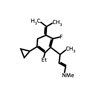 CCC1=C(C2CC2)CC(=C(C)C)C(F)=C1C(C)/C=C/NC